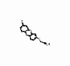 C#CCOc1ccc2nc3ccc(=O)cc-3oc2c1